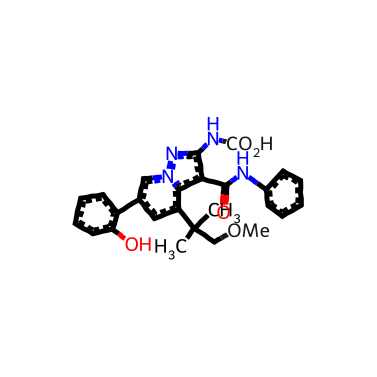 COCC(C)(C)c1cc(-c2ccccc2O)cn2nc(NC(=O)O)c(C(=O)Nc3ccccc3)c12